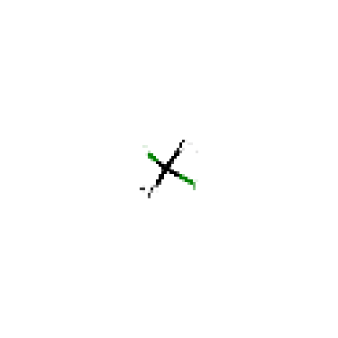 CC(C)(F)F